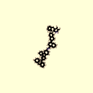 CC/C=C\C1=C(CC)Cc2ccccc2N1c1ccc2cc(-c3ccc(/C=C/c4ccc5c(c4)C4(CCCC4)c4cc(N6C7=C(C=C=C=C7)CC7=C6CCC=C7)ccc4-5)c4ccccc34)ccc2c1